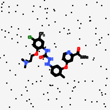 CNC(=O)c1cc(Oc2cc(NNC(=O)Nc3cc(C(F)(F)F)c(Cl)cc3OCCN(C)C)ccc2C)ccn1